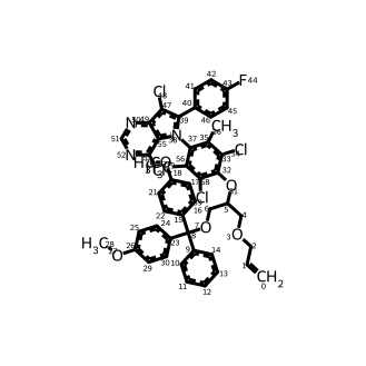 C=CCOCC(COC(c1ccccc1)(c1ccc(OC)cc1)c1ccc(OC)cc1)Oc1c(Cl)c(C)c(-n2c(-c3ccc(F)cc3)c(Cl)c3ncnc(Cl)c32)c(C)c1Cl